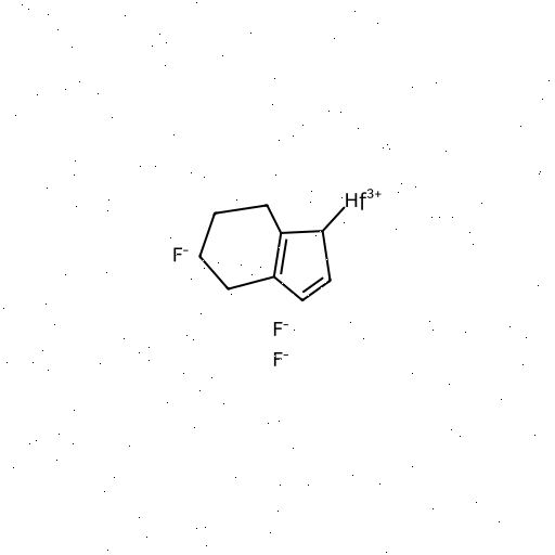 [F-].[F-].[F-].[Hf+3][CH]1C=CC2=C1CCCC2